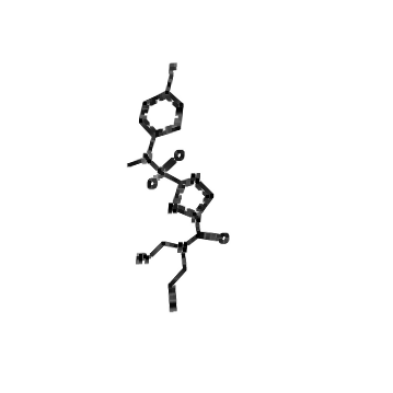 C=CCN(CC(C)C)C(=O)n1cnc(S(=O)(=O)N(C)c2ccc(F)cc2)n1